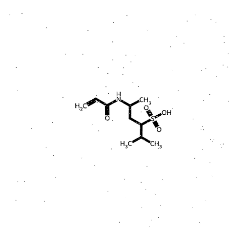 C=CC(=O)NC(C)CC(C(C)C)S(=O)(=O)O